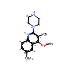 CCCOc1c(C#N)c(N2CCNCC2)nc2ccc(OC)cc12